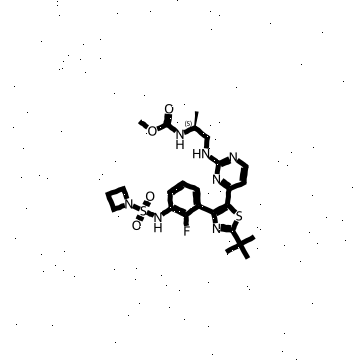 COC(=O)N[C@@H](C)CNc1nccc(-c2sc(C(C)(C)C)nc2-c2cccc(NS(=O)(=O)N3CCC3)c2F)n1